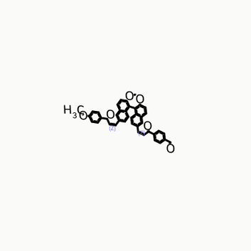 COc1ccc(C(=O)/C=C\c2ccc3c4c(ccc3c2)OCOc2ccc3cc(/C=C\C(=O)c5ccc(C=O)cc5)ccc3c2-4)cc1